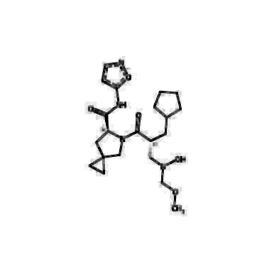 COCN(O)C[C@@H](CC1CCCC1)C(=O)N1CC2(CC2)C[C@H]1C(=O)Nc1ccno1